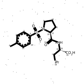 Cc1ccc(S(=O)(=O)N2CCC[C@H]2C(=O)N[C@@H](CC(C)C)C(=O)O)cc1